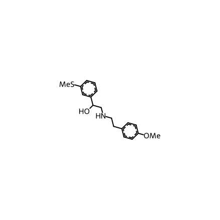 COc1ccc(CCNCC(O)c2cccc(SC)c2)cc1